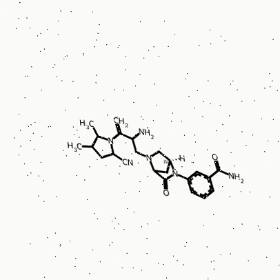 C=C(C(N)CN1C[C@@H]2CC1C(=O)N2c1cccc(C(N)=O)c1)N1C(C#N)CC(C)C1C